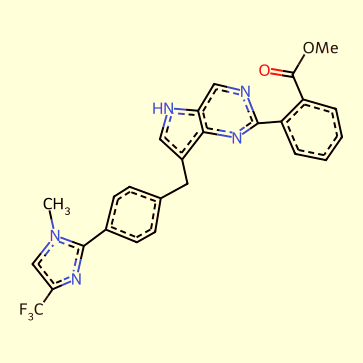 COC(=O)c1ccccc1-c1ncc2[nH]cc(Cc3ccc(-c4nc(C(F)(F)F)cn4C)cc3)c2n1